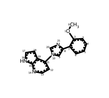 COc1ccccc1-c1cn(-c2ccnc3[nH]ccc23)cn1